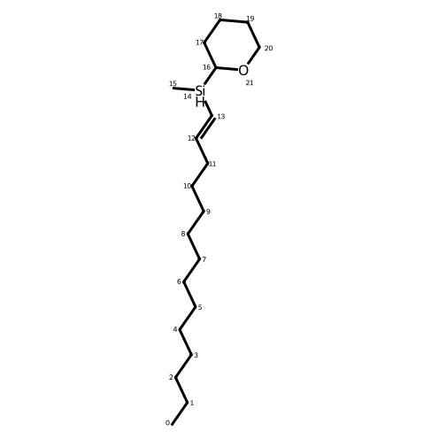 CCCCCCCCCCCCC=C[SiH](C)C1CCCCO1